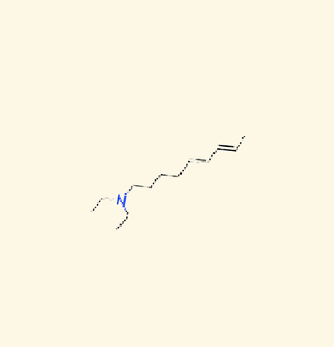 CC=CC=CCCCCN(CC)CC